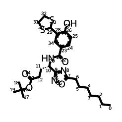 CCCCCCCc1nc([C@H](CCC(=O)OC(C)(C)C)NC(=O)c2ccc(O)c(C3SCCS3)c2)no1